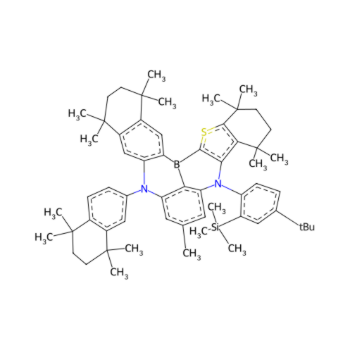 Cc1cc2c3c(c1)N(c1ccc(C(C)(C)C)cc1[Si](C)(C)C)c1c(sc4c1C(C)(C)CCC4(C)C)B3c1cc3c(cc1N2c1ccc2c(c1)C(C)(C)CCC2(C)C)C(C)(C)CCC3(C)C